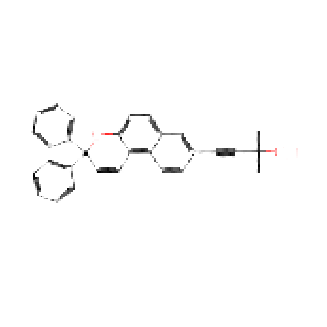 CC(C)(O)C#Cc1ccc2c3c(ccc2c1)OC(c1ccccc1)(c1ccccc1)C=C3